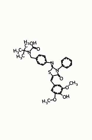 COc1cc(C=C2SC(=Nc3ccc(CN(C(=O)O)C(C)(C)C)cc3)N(c3ccccc3)C2=O)cc(OC)c1O